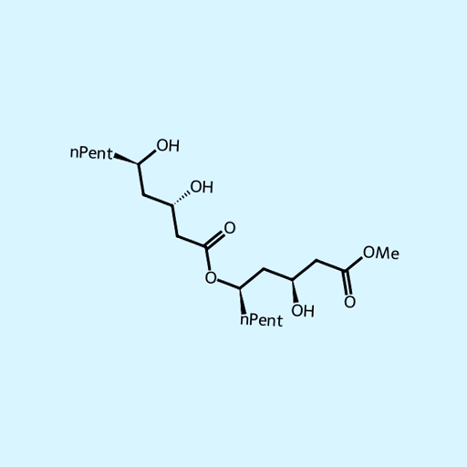 CCCCC[C@@H](O)C[C@H](O)CC(=O)O[C@H](CCCCC)C[C@H](O)CC(=O)OC